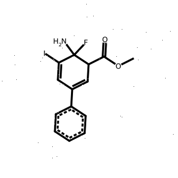 COC(=O)C1C=C(c2ccccc2)C=C(I)C1(N)F